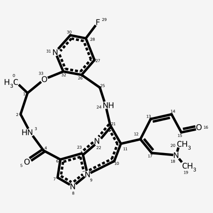 CC1CNC(=O)c2cnn3cc(C(/C=C\C=O)=C/N(C)C)c(nc23)NCc2cc(F)cnc2O1